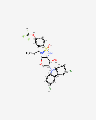 CCCN=S(=O)(N[C@H]1COC=C(n2c3ccc(Cl)cc3c3cc(Cl)ccc32)[C@@H]1O)c1ccc(OC(F)(F)F)cc1